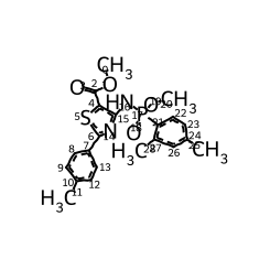 COC(=O)c1sc(-c2ccc(C)cc2)nc1NP(=O)(OC)c1ccc(C)cc1C